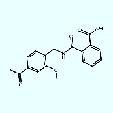 COc1cc(C(C)=O)ccc1CNC(=O)c1ccccc1C(=O)O